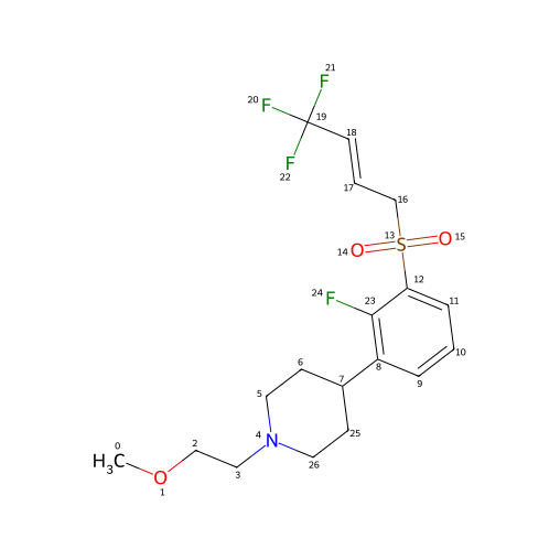 COCCN1CCC(c2cccc(S(=O)(=O)CC=CC(F)(F)F)c2F)CC1